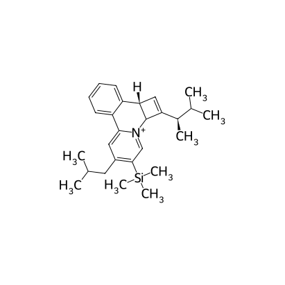 CC(C)Cc1cc2[n+](cc1[Si](C)(C)C)C1C([C@H](C)C(C)C)=C[C@H]1c1ccccc1-2